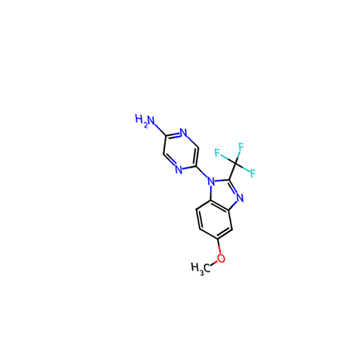 COc1ccc2c(c1)nc(C(F)(F)F)n2-c1cnc(N)cn1